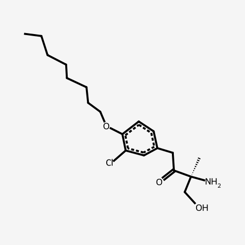 CCCCCCCCOc1ccc(CC(=O)[C@@](C)(N)CO)cc1Cl